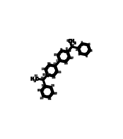 CC(c1ccccc1)[n+]1ccc(-c2cc[n+](C(C)c3ccccc3)cc2)cc1